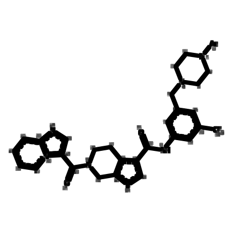 CC(=O)N1CCN(Cc2cc(NC(=O)c3csc4c3CCN(C(=O)c3cnc5ccccn35)C4)cc(C(F)(F)F)c2)CC1